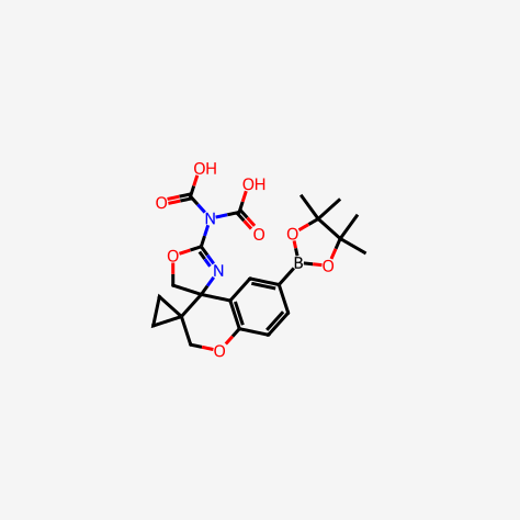 CC1(C)OB(c2ccc3c(c2)C2(COC(N(C(=O)O)C(=O)O)=N2)C2(CC2)CO3)OC1(C)C